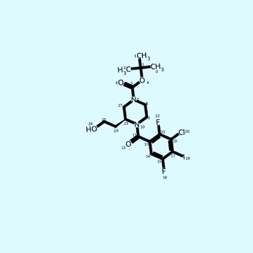 CC(C)(C)OC(=O)N1CCN(C(=O)c2cc(F)c(I)c(Cl)c2F)[C@@H](CCO)C1